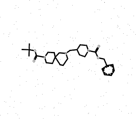 CC(C)(C)OC(=O)N1CCC2(CCCN(CC3CCN(C(=O)OCc4ccccc4)CC3)C2)CC1